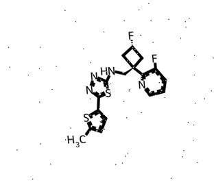 Cc1ccc(-c2nnc(NC[C@]3(c4ncccc4F)C[C@@H](F)C3)s2)s1